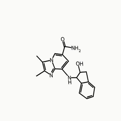 Cc1nc2c(NC3c4ccccc4CC3O)cc(C(N)=O)cn2c1C